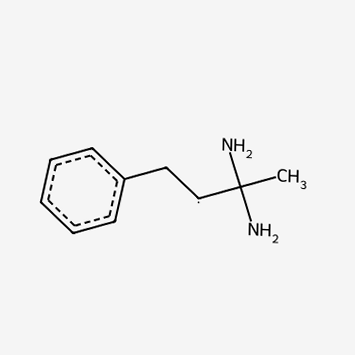 CC(N)(N)[CH]Cc1ccccc1